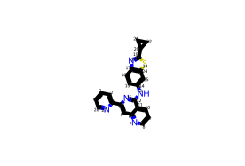 c1ccc(-c2cc3ncccc3c(Nc3ccc4nc(C5CC5)sc4c3)n2)nc1